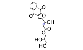 O=C(/C=C(\O)c1cc2c(o1)C(=O)c1ccccc1C2=O)OCC(O)CO